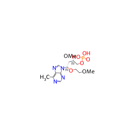 COCCO[C@@H](C[C@@H](COP(=O)(O)O)OC)n1cnc2c(C)ncnc21